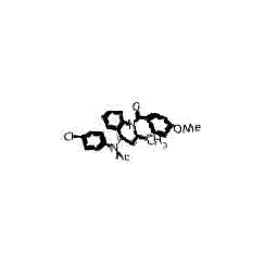 COc1ccc(C(=O)N2c3ccccc3[C@@H](N(C(C)=O)c3ccc(Cl)cc3)CC2C)cc1